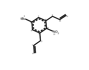 C=CCc1cc(C(C)(C)C)cc(CC=C)c1[N+](=O)[O-]